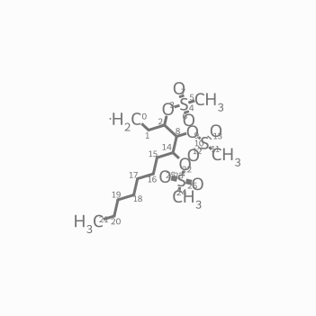 [CH2]CC(OS(C)(=O)=O)C(OS(C)(=O)=O)C(CCCCCCC)OS(C)(=O)=O